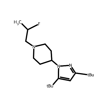 CC(F)CN1CCC(n2nc(C(C)(C)C)cc2C(C)(C)C)CC1